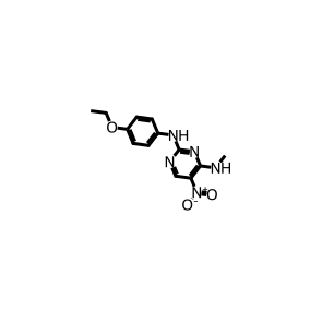 CCOc1ccc(Nc2ncc([N+](=O)[O-])c(NC)n2)cc1